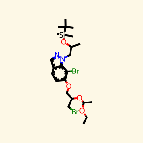 CCO[C@H](C)OC(CBr)COc1ccc2cnn(CC(C)O[Si](C)(C)C(C)(C)C)c2c1Br